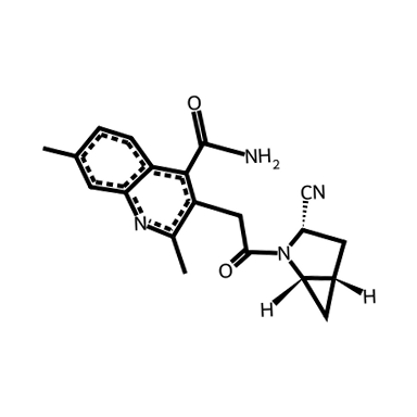 Cc1ccc2c(C(N)=O)c(CC(=O)N3[C@H](C#N)C[C@@H]4C[C@@H]43)c(C)nc2c1